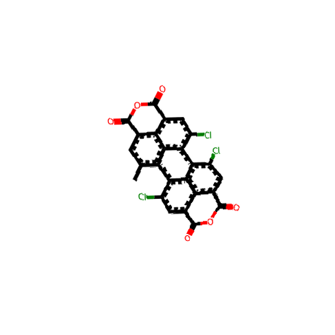 Cc1cc2c3c(cc(Cl)c4c5c(Cl)cc6c7c(cc(Cl)c(c1c34)c75)C(=O)OC6=O)C(=O)OC2=O